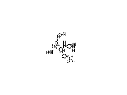 CCCC(=O)Nc1cccc(-c2nc(Nc3ccc4[nH]ncc4c3)c3cc(OCCN4CCC(N(C)C)C4)c(OC)cc3n2)c1.Cl.Cl